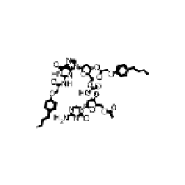 CCCCc1ccc(OCC(=O)Nc2nc3c(ncn3[C@H]3C[C@@H](OC(=O)COc4ccc(CCCC)cc4)C(COP(=O)(O)O[C@@H]4C[C@H](n5cnc(N)nc5=O)OC4COC(C)=O)O3)c(=O)[nH]2)cc1